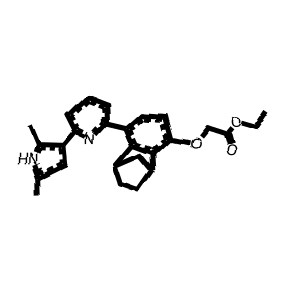 CCOC(=O)COc1ccc(-c2cccc(-c3cc(C)[nH]c3C)n2)c2c1C1CCC2C1